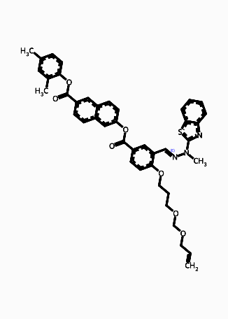 C=CCOCOCCCOc1ccc(C(=O)Oc2ccc3cc(C(=O)Oc4ccc(C)cc4C)ccc3c2)cc1/C=N/N(C)c1nc2ccccc2s1